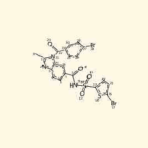 Cc1nc2ccc(C(=O)NS(=O)(=O)c3ccc(Br)s3)cc2n1C(=O)c1ccc(Br)cc1